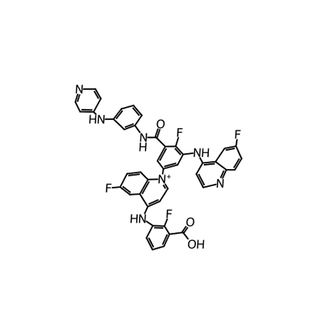 O=C(O)c1cccc(Nc2cc[n+](-c3cc(Nc4ccnc5ccc(F)cc45)c(F)c(C(=O)Nc4cccc(Nc5ccncc5)c4)c3)c3ccc(F)cc23)c1F